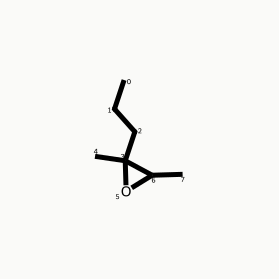 CCCC1(C)OC1C